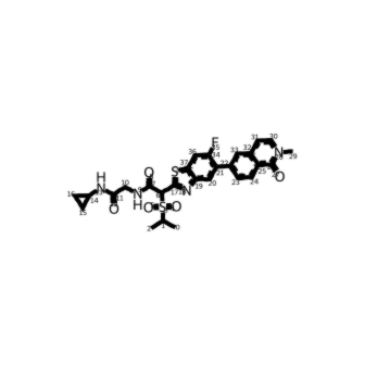 CC(C)S(=O)(=O)C(C(=O)NCC(=O)NC1CC1)c1nc2cc(-c3ccc4c(=O)n(C)ccc4c3)c(F)cc2s1